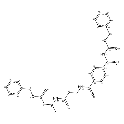 CC(CC(=O)OCc1ccccc1)NC(=O)CCNC(=O)c1ccc(C(=N)NC(=O)OCc2ccccc2)cc1